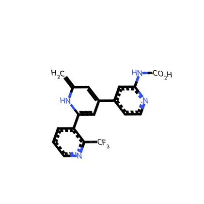 C=C1C=C(c2ccnc(NC(=O)O)c2)C=C(c2cccnc2C(F)(F)F)N1